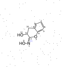 O/N=C1/Oc2ccccc2CC1O